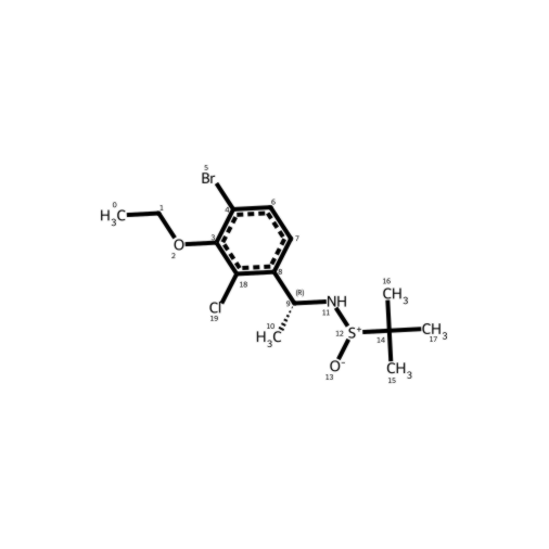 CCOc1c(Br)ccc([C@@H](C)N[S+]([O-])C(C)(C)C)c1Cl